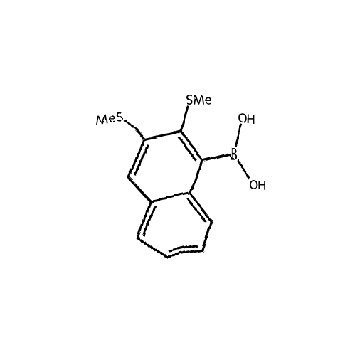 CSc1cc2ccccc2c(B(O)O)c1SC